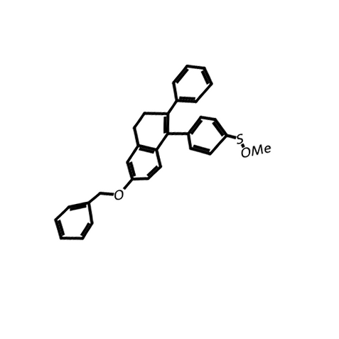 COSc1ccc(C2=C(c3ccccc3)CCc3cc(OCc4ccccc4)ccc32)cc1